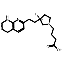 O=C(O)CCCN1CC[C@@](F)(CCc2ccc3c(n2)NCCC3)C1